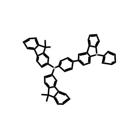 CC1(C)c2ccccc2-c2cc(N(c3ccc(-c4ccc5c(c4)c4ccccc4n5-c4ccccc4)cc3)c3ccc4c(c3)C(C)(C)c3ccccc3-4)ccc21